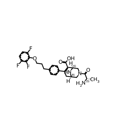 C[C@H](N)C(=O)N1C[C@H]2CC(c3ccc(CCCOc4c(F)ccc(F)c4F)cc3)=C(C(=O)O)[C@@H](C1)N2